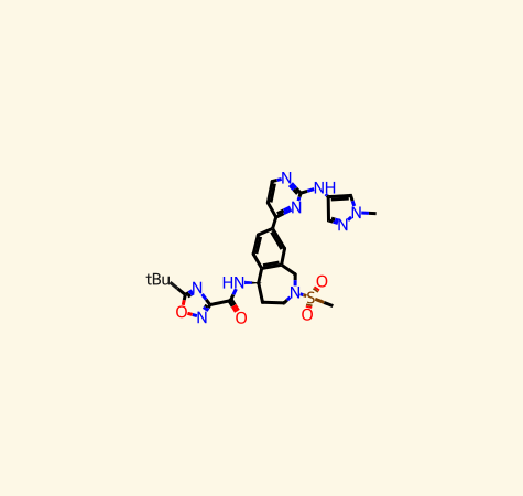 Cn1cc(Nc2nccc(-c3ccc4c(c3)CN(S(C)(=O)=O)CC[C@H]4NC(=O)c3noc(C(C)(C)C)n3)n2)cn1